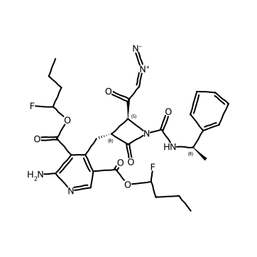 CCCC(F)OC(=O)c1cnc(N)c(C(=O)OC(F)CCC)c1C[C@H]1C(=O)N(C(=O)N[C@H](C)c2ccccc2)[C@@H]1C(=O)C=[N+]=[N-]